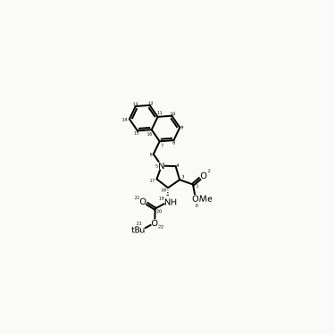 COC(=O)C1CN(Cc2cccc3ccccc23)C[C@H]1NC(=O)OC(C)(C)C